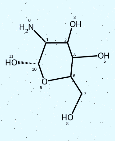 NC1C(O)C(O)C(CO)O[C@@H]1O